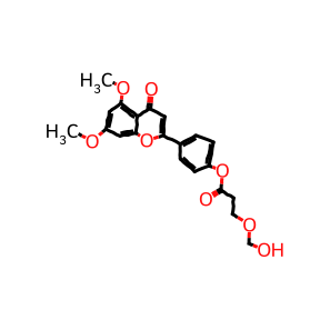 COc1cc(OC)c2c(=O)cc(-c3ccc(OC(=O)CCOCO)cc3)oc2c1